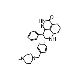 CN1CCN(Cc2ccc([C@H]3NC4CCCc5c4c(n[nH]c5=O)[C@@H]3c3ccccc3)cc2)CC1